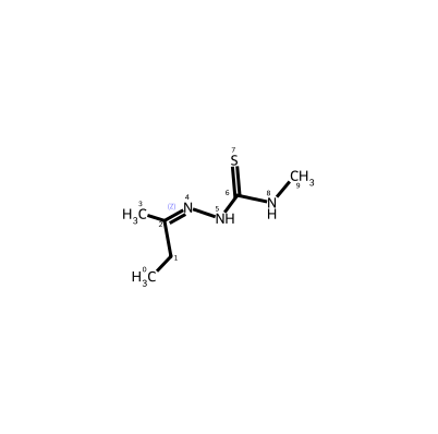 CC/C(C)=N\NC(=S)NC